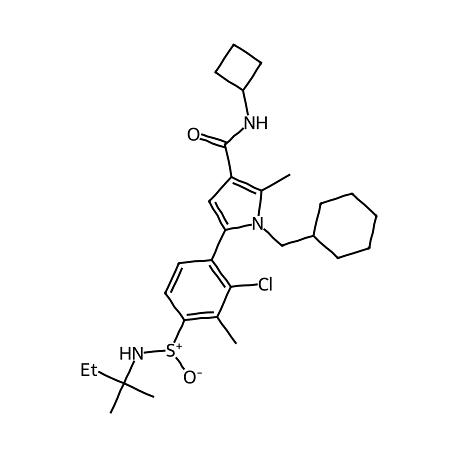 CCC(C)(C)N[S+]([O-])c1ccc(-c2cc(C(=O)NC3CCC3)c(C)n2CC2CCCCC2)c(Cl)c1C